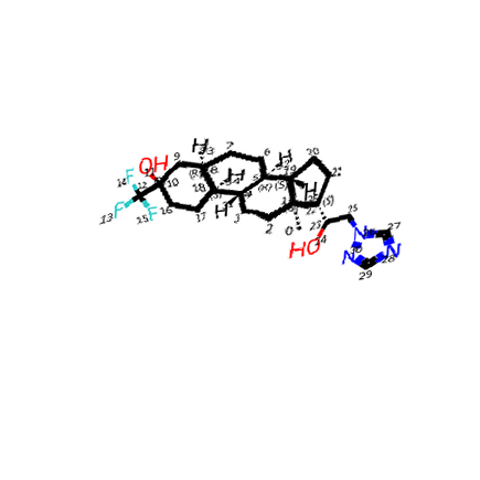 C[C@]12CC[C@H]3[C@@H](CC[C@@H]4C[C@@](O)(C(F)(F)F)CC[C@@H]43)[C@@H]1CC[C@@H]2C(O)Cn1cncn1